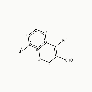 O=CC1=C(Br)c2cccc(Br)c2CC1